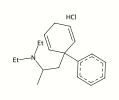 CCN(CC)C(C)CC1(c2ccccc2)C=CCC=C1.Cl